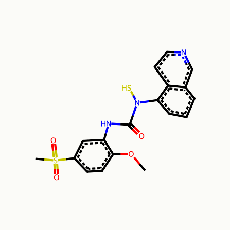 COc1ccc(S(C)(=O)=O)cc1NC(=O)N(S)c1cccc2cnccc12